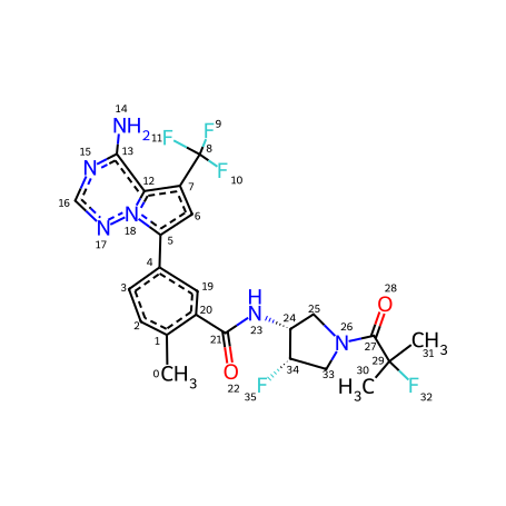 Cc1ccc(-c2cc(C(F)(F)F)c3c(N)ncnn23)cc1C(=O)N[C@@H]1CN(C(=O)C(C)(C)F)C[C@@H]1F